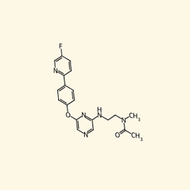 CC(=O)N(C)CCNc1cncc(Oc2ccc(-c3ccc(F)cn3)cc2)n1